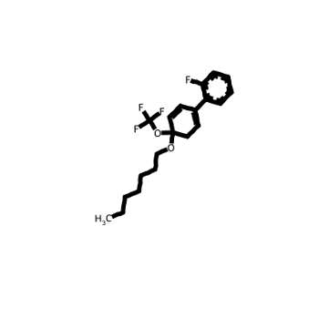 CCCCCCCOC1(OC(F)(F)F)C=CC(c2ccccc2F)=CC1